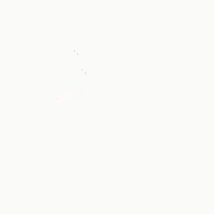 NN1C(=O)C(=Cc2ccccc2)SC1=S